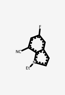 CCn1ccc2cc(F)cc(C#N)c21